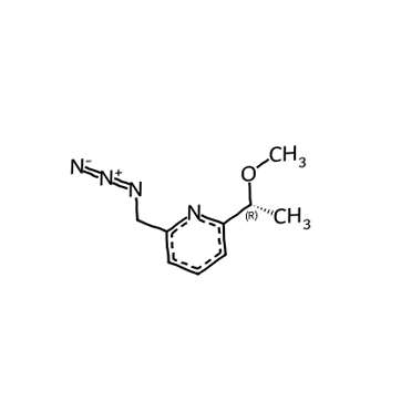 CO[C@H](C)c1cccc(CN=[N+]=[N-])n1